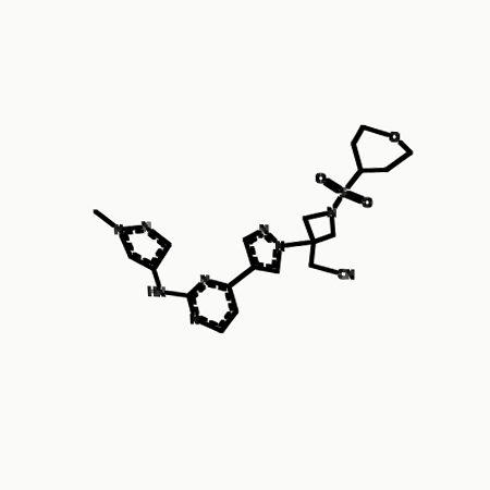 Cn1cc(Nc2nccc(-c3cnn(C4(CC#N)CN(S(=O)(=O)C5CCOCC5)C4)c3)n2)cn1